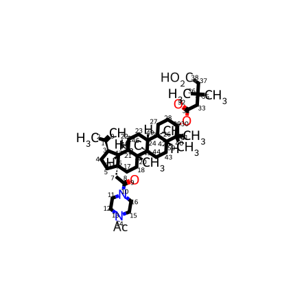 C=C(C)[C@@H]1CC[C@]2(CC(=O)N3CCN(C(C)=O)CC3)CC[C@]3(C)[C@H](CC[C@@H]4[C@@]5(C)CC[C@H](OC(=O)CC(C)(C)CC(=O)O)C(C)(C)[C@@H]5CC[C@]43C)[C@@H]12